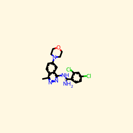 Cc1nnc(N[C@H](N)c2ccc(Cl)cc2Cl)c2cc(N3CCOCC3)ccc12